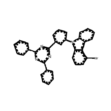 Brc1cccc2c1c1ccccc1n2-c1cccc(-c2nc(-c3ccccc3)nc(-c3ccccc3)n2)c1